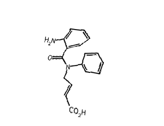 Nc1ccccc1C(=O)N(CC=CC(=O)O)c1ccccc1